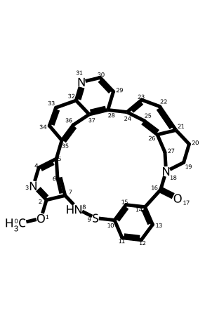 COc1ncc2cc1NSc1cccc(c1)C(=O)N1CCc3ccc(cc3C1)-c1ccnc3ccc-2cc13